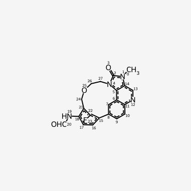 Cn1c(=O)n2c3c4cc(ccc4ncc31)-c1ccc(NC=O)c(c1F)COCC2